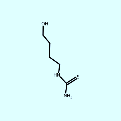 NC(=S)NCCCCO